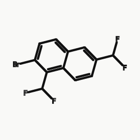 FC(F)c1ccc2c(C(F)F)c(Br)ccc2c1